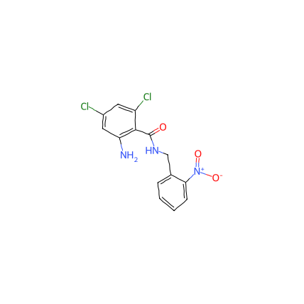 Nc1cc(Cl)cc(Cl)c1C(=O)NCc1ccccc1[N+](=O)[O-]